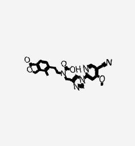 COc1cc(-n2cnc(CN(CCc3ccc4c(c3C)COC4=O)C(=O)O)c2)ncc1C#N